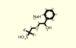 O=S(=O)(O)C(F)(F)COCC(O)c1ccccc1.[NaH]